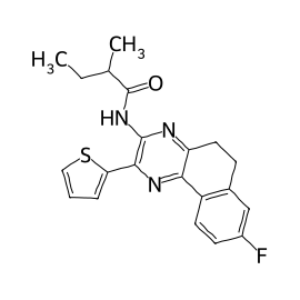 CCC(C)C(=O)Nc1nc2c(nc1-c1cccs1)-c1ccc(F)cc1CC2